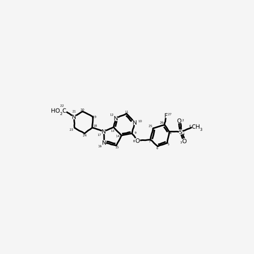 CS(=O)(=O)c1ccc(Oc2ncnc3c2cnn3C2CCN(C(=O)O)CC2)cc1F